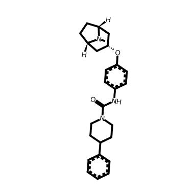 CN1[C@@H]2CC[C@H]1C[C@@H](Oc1ccc(NC(=O)N3CCC(c4ccccc4)CC3)cc1)C2